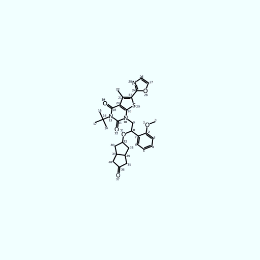 COc1ccccc1C(Cn1c(=O)n(C(C)(C)C)c(=O)c2c(C)c(-c3ncco3)sc21)OC1CC2CC(=O)CC2C1